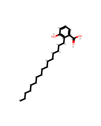 CCCCCCCCCCCCCCCCc1c(O)cccc1C(=O)O